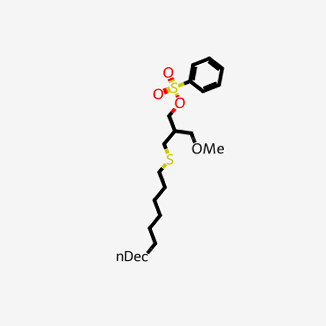 CCCCCCCCCCCCCCCCSCC(COC)COS(=O)(=O)c1ccccc1